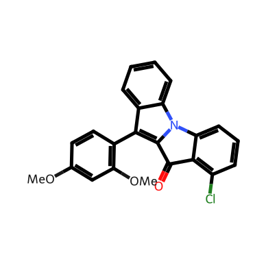 COc1ccc(-c2c3n(c4ccccc24)-c2cccc(Cl)c2C3=O)c(OC)c1